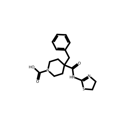 O=C(O)N1CCC(Cc2ccccc2)(C(=O)NC2=NCCS2)CC1